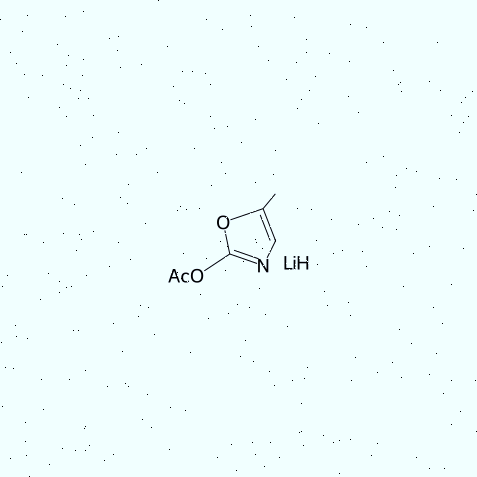 CC(=O)Oc1ncc(C)o1.[LiH]